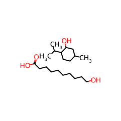 CC1CCC(C(C)C)C(O)C1.O=C(O)CCCCCCCCCO